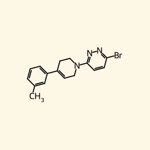 Cc1cccc(C2=CCN(c3ccc(Br)nn3)CC2)c1